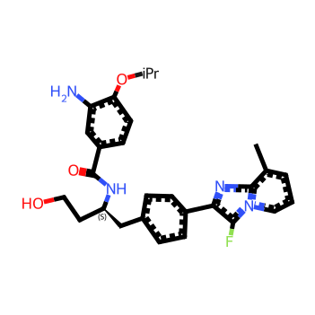 Cc1cccn2c(F)c(-c3ccc(C[C@@H](CCO)NC(=O)c4ccc(OC(C)C)c(N)c4)cc3)nc12